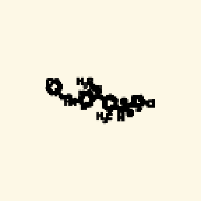 Cc1cc(-c2nn(C)c3nc(NCCN4CCOCC4)ncc23)ccc1NS(=O)(=O)c1ccc(Cl)s1